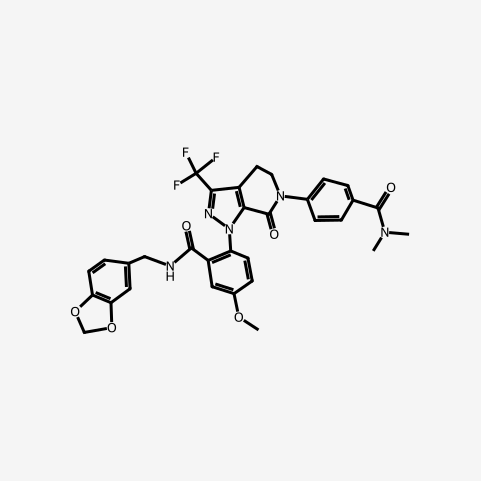 COc1ccc(-n2nc(C(F)(F)F)c3c2C(=O)N(c2ccc(C(=O)N(C)C)cc2)CC3)c(C(=O)NCc2ccc3c(c2)OCO3)c1